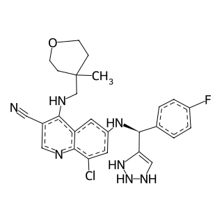 CC1(CNc2c(C#N)cnc3c(Cl)cc(N[C@H](C4=CNNN4)c4ccc(F)cc4)cc23)CCOCC1